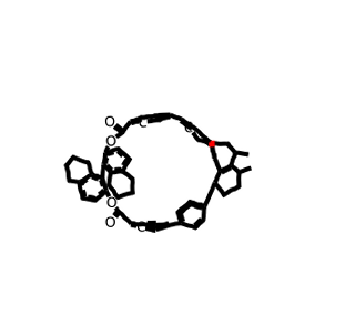 CC1CCC2C3=C=C=C(C=C3)C3=C=C=C(C=C3)C(=O)Oc3ccc4c(c3-c3c(ccc5c3CCCC5)OC(=O)C3=CC=C(CC3)C3=CC=C(CC3)C3CCC(C)C1=C23)CCCC4